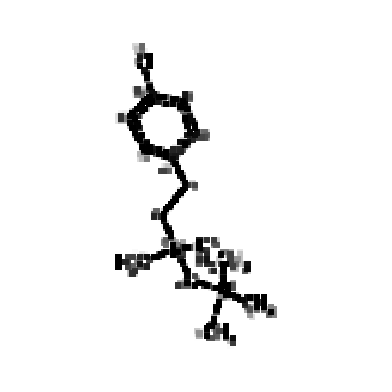 C[Si](C)(C)O[Si](C)(C)CCc1ccc(Cl)cc1